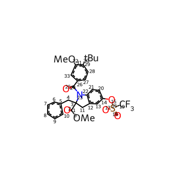 COC(=O)C1(Cc2ccccc2)Cc2cc(OS(=O)(=O)C(F)(F)F)ccc2N1C(=O)c1ccc(C(C)(C)C)c(OC)c1